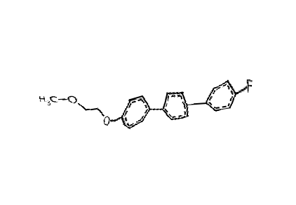 COCCOc1ccc(-c2ccc(-c3ccc(F)cc3)cc2)cc1